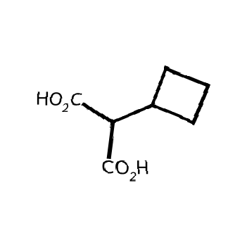 O=C(O)C(C(=O)O)C1CCC1